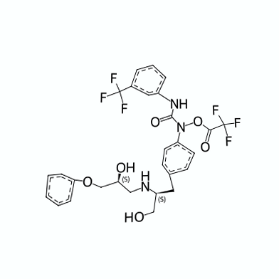 O=C(Nc1cccc(C(F)(F)F)c1)N(OC(=O)C(F)(F)F)c1ccc(C[C@@H](CO)NC[C@H](O)COc2ccccc2)cc1